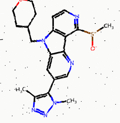 Cc1nnn(C)c1-c1cnc2c3c([S+](C)[O-])nccc3n(CC3CCOCC3)c2c1